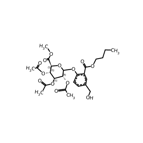 CCCCOC(=O)c1cc(CO)ccc1OC1O[C@H](C(=O)OC)[C@@H](OC(C)=O)[C@H](OC(C)=O)[C@H]1OC(C)=O